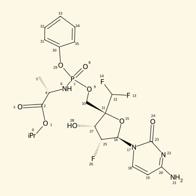 CC(C)OC(=O)[C@H](C)NP(=O)(OC[C@@]1(C(F)F)O[C@@H](n2ccc(N)nc2=O)[C@H](F)[C@@H]1O)Oc1ccccc1